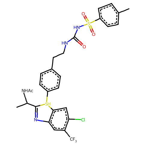 CC(=O)NC(C)C1=Nc2cc(C(F)(F)F)c(Cl)cc2[SH]1c1ccc(CCNC(=O)NS(=O)(=O)c2ccc(C)cc2)cc1